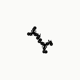 c1ccc2cc(-c3nc(-c4ccc(-c5nccc6c(-c7cccc8c(-c9ccc(-c%10nc(-c%11ccc(-c%12cccc%13ccccc%12%13)cc%11)nc(-c%11ccc(-c%12nccc%13ccccc%12%13)cc%11)n%10)cc9)cccc78)cccc56)cc4)nc(-c4ccc5ccccc5c4)n3)ccc2c1